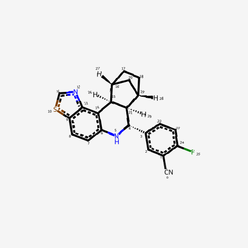 N#Cc1cc([C@@H]2Nc3ccc4scnc4c3[C@H]3[C@@H]4CC[C@@H](C4)[C@H]32)ccc1F